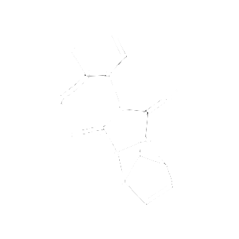 C=CC(C(=C)C)N1C(=O)C2C3C=CC(C3)C2C1=O